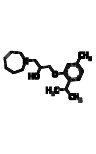 Cc1ccc(C(C)C)c(OCC(O)CN2CCCCCC2)c1